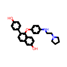 Oc1ccc(-c2ccc3cc(O)ccc3c2Oc2ccc(NCCN3CCCC3)cc2)cc1